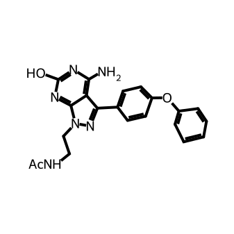 CC(=O)NCCn1nc(-c2ccc(Oc3ccccc3)cc2)c2c(N)nc(O)nc21